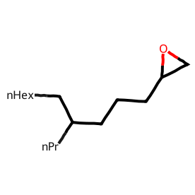 CCCCCCCC(CCC)CCCC1CO1